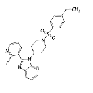 CCc1ccc(S(=O)(=O)N2CCC(n3c(-c4cccnc4F)nc4cccnc43)CC2)cc1